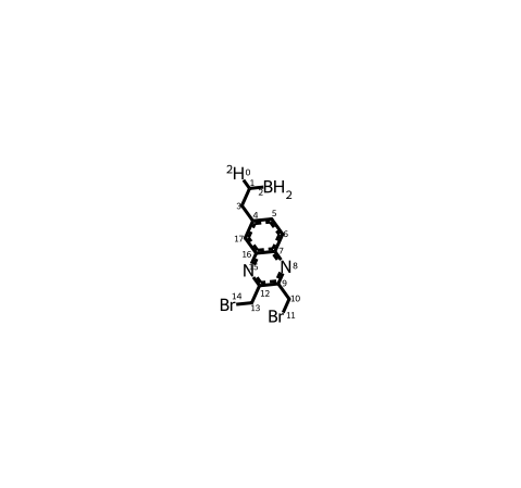 [2H]C(B)Cc1ccc2nc(CBr)c(CBr)nc2c1